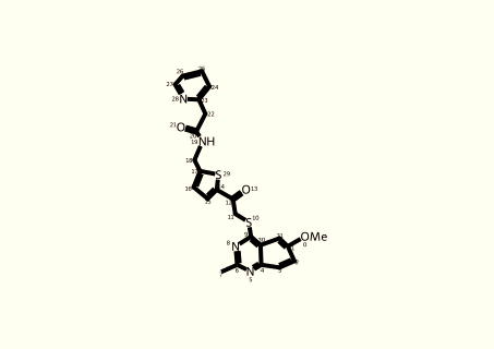 COc1ccc2nc(C)nc(SCC(=O)c3ccc(CNC(=O)Cc4ccccn4)s3)c2c1